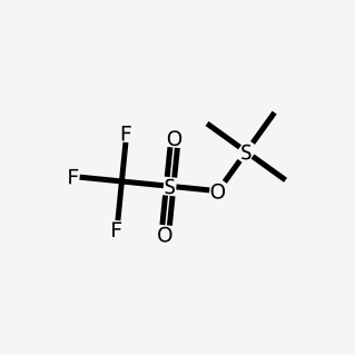 CS(C)(C)OS(=O)(=O)C(F)(F)F